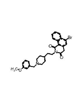 COc1cccc(CN2CCC(CCN3C(=O)Cc4cc(Br)c5ccccc5c4C3=O)CC2)c1